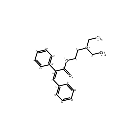 CCN(CC)CCOC(=O)C(=Cc1ccccc1)c1ccccc1